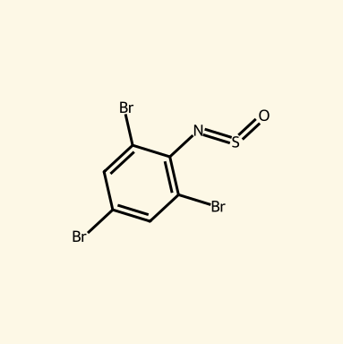 O=S=Nc1c(Br)cc(Br)cc1Br